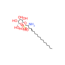 CCCCCCCCCCCCC/C=C/C(O)C(N)C(OC1O[C@H](CO)[C@H](O)[C@H](O)[C@H]1O)S(=O)(=O)O